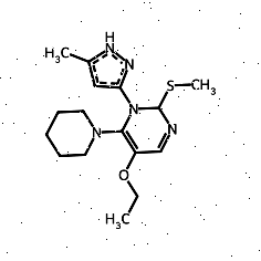 CCOC1=C(N2CCCCC2)N(c2cc(C)[nH]n2)C(SC)N=C1